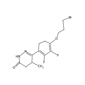 CC1CC(=O)NN=C1C1=C(F)C(F)=C(OCCCBr)CC1